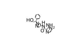 Nc1nccnc1C(=O)Nc1cnn(C(CO)c2ccccc2)c1